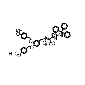 COc1ccc(COc2ccc(CON=C(C(=O)O)c3csc(NC(c4ccccc4)(c4ccccc4)c4ccccc4)n3)cc2OCc2ccc(OC)cc2)cc1